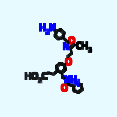 Cc1oc(-c2ccc(N)cc2)nc1CCOc1ccc(CCC(=O)O)c(CNC(=O)c2ccccn2)c1